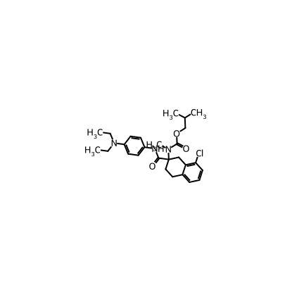 CCN(CC)c1ccc(NC(=O)C2(N(C)C(=O)OCC(C)C)CCc3cccc(Cl)c3C2)cc1